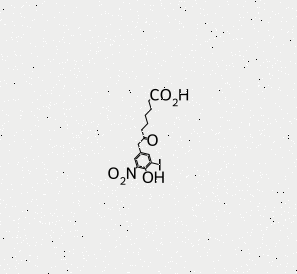 O=C(O)CCCCCC(=O)Cc1cc(I)c(O)c([N+](=O)[O-])c1